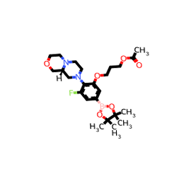 CC(=O)OCCCOc1cc(B2OC(C)(C)C(C)(C)O2)cc(F)c1N1CCN2CCOC[C@H]2C1